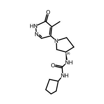 Cc1c(N2CC[C@@H](NC(=O)NC3CCCC3)C2)cn[nH]c1=O